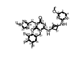 COc1ccnc(NC23CC(Nc4nc(=O)n(Cc5ncn(C)n5)c(=O)n4Cc4cc(F)c(F)c(F)c4)(C2)C3)n1